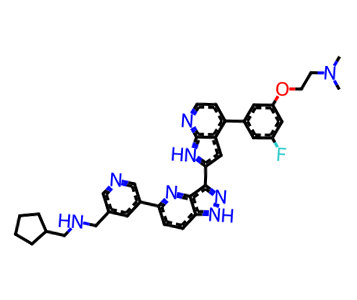 CN(C)CCOc1cc(F)cc(-c2ccnc3[nH]c(-c4n[nH]c5ccc(-c6cncc(CNCC7CCCC7)c6)nc45)cc23)c1